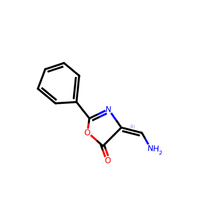 N/C=C1/N=C(c2ccccc2)OC1=O